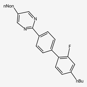 CCCCCCCCCc1cnc(-c2ccc(-c3ccc(CCCC)cc3F)cc2)nc1